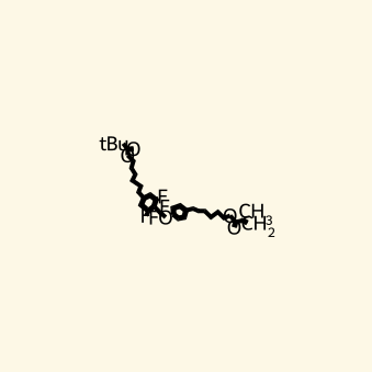 C=C(C)C(=O)OCCCCCCc1ccc(OC(F)(F)c2c(F)cc(CCCCCCOC(=O)C(C)(C)C)cc2F)cc1